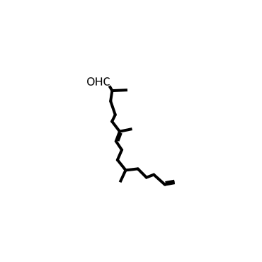 C=CCCCC(C)CC/C=C(\C)CCCC(C)C=O